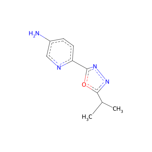 CC(C)c1nnc(-c2ccc(N)cn2)o1